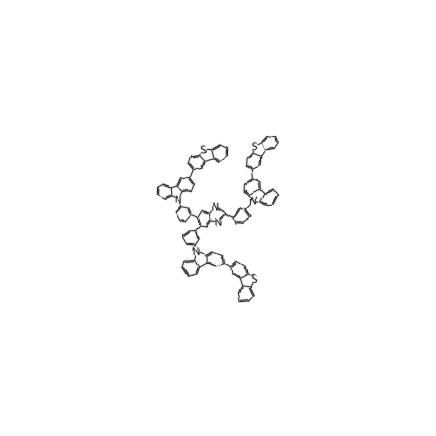 c1cc(-c2cnc3cc(-c4cccc(-n5c6ccccc6c6cc(-c7ccc8sc9ccccc9c8c7)ccc65)c4)c(-c4cccc(-n5c6ccccc6c6cc(-c7ccc8sc9ccccc9c8c7)ccc65)c4)cc3n2)cc(-n2c3ccccc3c3cc(-c4ccc5sc6ccccc6c5c4)ccc32)c1